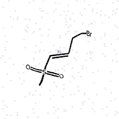 CS(=O)(=O)/C=C/CBr